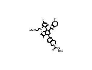 COCCOc1cc(F)cc(F)c1-c1c(-c2nc3c(s2)CNCC3)nc(-c2ccc3c(c2)CCN(C(=O)OC(C)(C)C)C3)c2c(F)csc12